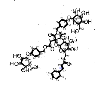 CC(C)C[C@](CC(=O)OCc1ccc(O[C@@H]2O[C@H](CO)[C@@H](O)[C@H](O)[C@H]2O)cc1)(O[C@@H]1O[C@H](COC(=O)/C=C/c2ccccc2)[C@@H](O)[C@H](O)[C@H]1O)C(=O)OCc1ccc(O[C@@H]2O[C@H](CO)[C@@H](O)[C@H](O)[C@H]2O)cc1